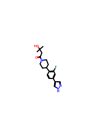 CC(C)(O)CC(=O)N1CCC(c2ccc(-c3cn[nH]c3)cc2F)CC1